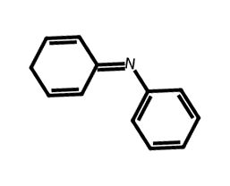 C1=CC(=Nc2ccccc2)C=CC1